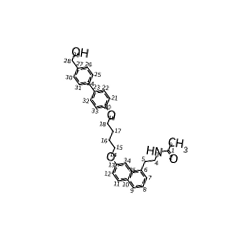 CC(=O)NCCc1cccc2ccc(OCCCCOc3ccc(-c4ccc(CO)cc4)cc3)cc12